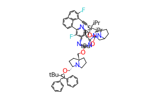 CC(C)[Si](C#Cc1c(F)ccc2cccc(-c3ncc4c(N5CC6CCC(C5)N6C(=O)OC(C)(C)C)nc(OC[C@@]56CCCN5[C@H](CO[Si](c5ccccc5)(c5ccccc5)C(C)(C)C)CC6)nc4c3F)c12)(C(C)C)C(C)C